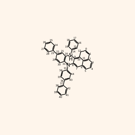 C1=Cc2cccc3cc4c(c(c23)C1)[SiH](c1ccccc1)c1cc(-c2ccccc2)ccc1N4c1ccc(-c2ccccc2)cc1